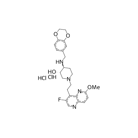 COc1ccc2ncc(F)c(CCN3CC[C@H](NCc4ccc5c(c4)OCCO5)[C@@H](O)C3)c2n1.Cl.Cl